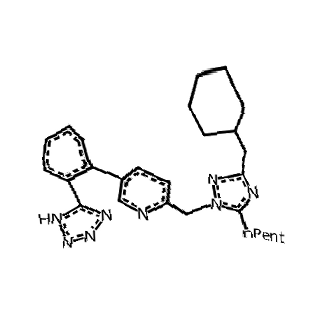 CCCCCc1nc(CC2CCCCC2)nn1Cc1ccc(-c2ccccc2-c2nnn[nH]2)cn1